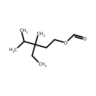 CCC(C)(CCO[C]=O)C(C)C